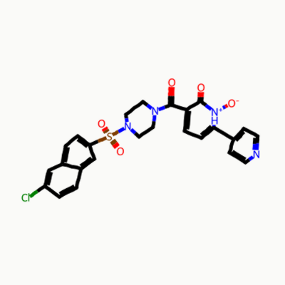 O=C(C1=CC=C(c2ccncc2)[NH+]([O-])C1=O)N1CCN(S(=O)(=O)c2ccc3cc(Cl)ccc3c2)CC1